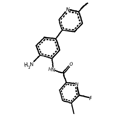 Cc1ccc(-c2ccc(N)c(NC(=O)c3ccc(C)c(F)n3)c2)cn1